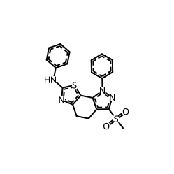 CS(=O)(=O)c1nn(-c2ccccc2)c2c1CCc1nc(Nc3ccccc3)sc1-2